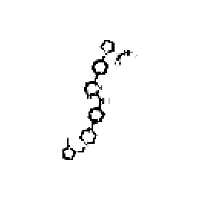 NC(=O)[C@H]1CCCN1c1ccc(-c2ccnc(Nc3ccc(N4CCN(C[C@H]5CCCN5)CC4)cc3)n2)cc1